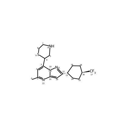 Cc1cc(C2CNCCS2)n2nc([C@H]3CC[C@H](C(F)(F)F)CC3)cc2n1